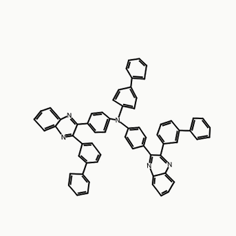 c1ccc(-c2ccc(N(c3ccc(-c4nc5ccccc5nc4-c4cccc(-c5ccccc5)c4)cc3)c3ccc(-c4nc5ccccc5nc4-c4cccc(-c5ccccc5)c4)cc3)cc2)cc1